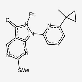 CCn1c(=O)c2cnc(SC)nc2n1-c1cccc(C2(C)CC2)n1